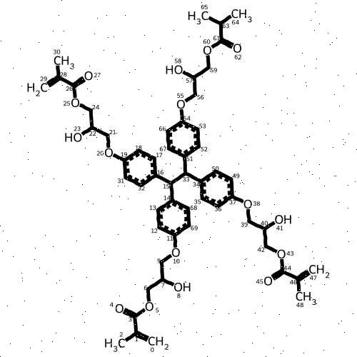 C=C(C)C(=O)OCC(O)COc1ccc(C(c2ccc(OCC(O)COC(=O)C(=C)C)cc2)C(c2ccc(OCC(O)COC(=O)C(=C)C)cc2)c2ccc(OCC(O)COC(=O)C(C)C)cc2)cc1